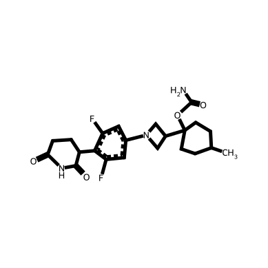 CC1CCC(OC(N)=O)(C2CN(c3cc(F)c(C4CCC(=O)NC4=O)c(F)c3)C2)CC1